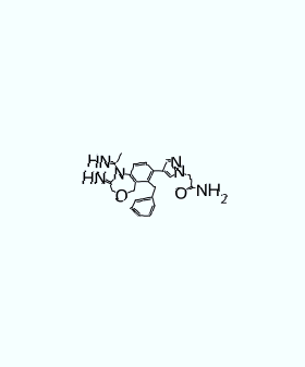 CC(=N)N1C(=N)COCc2c1ccc(-c1cnn(CC(N)=O)c1)c2Cc1ccccc1